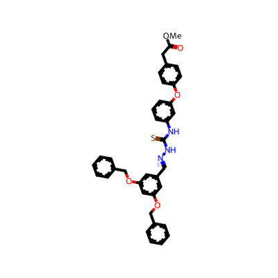 COC(=O)Cc1ccc(Oc2cccc(NC(=S)N/N=C/c3cc(OCc4ccccc4)cc(OCc4ccccc4)c3)c2)cc1